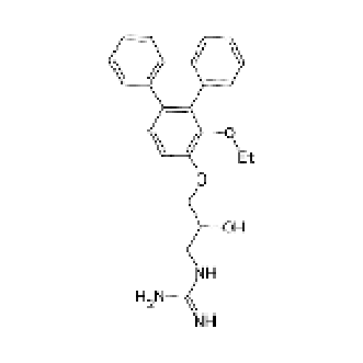 CCOc1c(OCC(O)CNC(=N)N)ccc(-c2ccccc2)c1-c1ccccc1